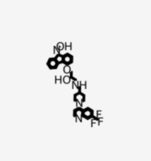 ON=C1c2ccccc2-c2c(OC[C@@H](O)CNCC3CCN(c4ccnc5cc(C(F)(F)F)ccc45)CC3)cccc21